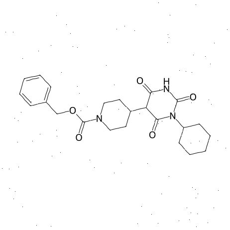 O=C1NC(=O)N(C2CCCCC2)C(=O)C1C1CCN(C(=O)OCc2ccccc2)CC1